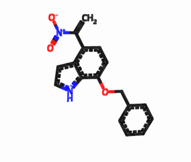 C=C(c1ccc(OCc2ccccc2)c2[nH]ccc12)[N+](=O)[O-]